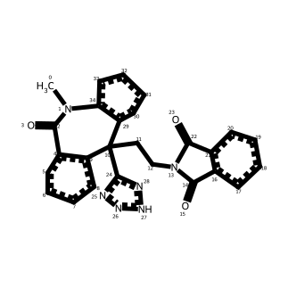 CN1C(=O)c2ccccc2C(CCN2C(=O)c3ccccc3C2=O)(c2nn[nH]n2)c2ccccc21